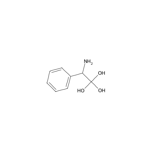 NC(c1ccccc1)C(O)(O)O